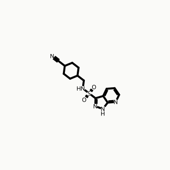 N#CC1CCC(CNS(=O)(=O)c2n[nH]c3ncccc23)CC1